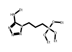 CCNc1nnnn1CCC[Si](OCC)(OCC)OCC